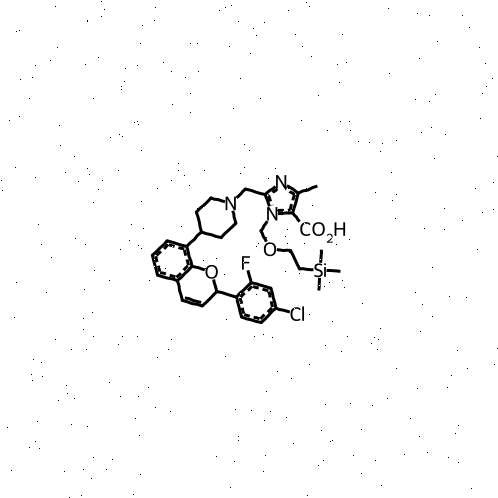 Cc1nc(CN2CCC(c3cccc4c3OC(c3ccc(Cl)cc3F)C=C4)CC2)n(COCC[Si](C)(C)C)c1C(=O)O